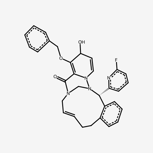 O=C1C2=C(OCc3ccccc3)C(O)C=CN2N2CN1C/C=C/CCc1ccccc1[C@H]2c1cccc(F)n1